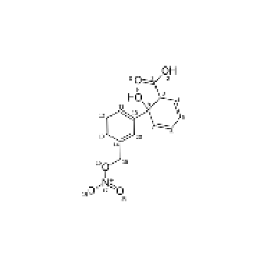 O=C(O)C1C=CC=CC1(O)c1cccc(CO[N+](=O)[O-])c1